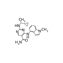 CC(Nc1ncc(C(N)=O)c(Nc2cccc3c2ccn3C)n1)C1CC1